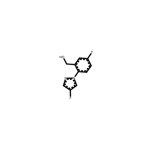 OCc1cc(F)ccc1-n1cc(F)cn1